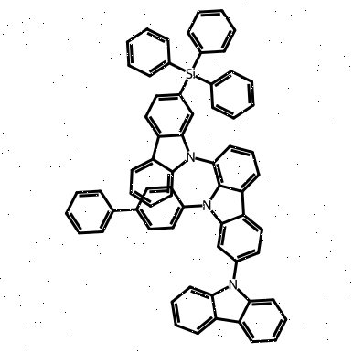 c1ccc(-c2ccc(-n3c4cc(-n5c6ccccc6c6ccccc65)ccc4c4cccc(-n5c6ccccc6c6ccc([Si](c7ccccc7)(c7ccccc7)c7ccccc7)cc65)c43)cc2)cc1